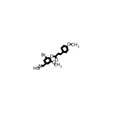 COc1ccc(C=CC(=O)Oc2c(Br)cc(/C=N/O)cc2OC)cc1